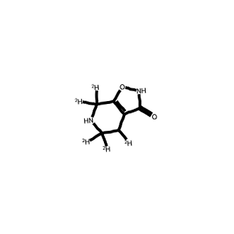 [2H]C1c2c(o[nH]c2=O)C([2H])([2H])NC1([2H])[2H]